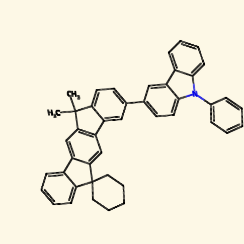 CC1(C)c2ccc(-c3ccc4c(c3)c3ccccc3n4-c3ccccc3)cc2-c2cc3c(cc21)-c1ccccc1C31CCCCC1